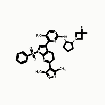 Cc1noc(C)c1-c1ccc2c(-c3nc(N[C@H]4CCC[C@H]4N4CC(F)(F)C4)ncc3C(F)(F)F)cn(S(=O)(=O)c3ccccc3)c2n1